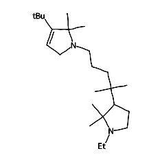 CCN1CCC(C(C)(C)CCCN2CC=C(C(C)(C)C)C2(C)C)C1(C)C